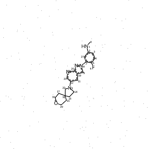 CNc1ccc(F)c(-n2cc3cc(N4CCC5(CCOCC5)C4)cnc3n2)c1